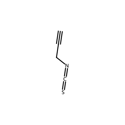 C#CCN=C=S